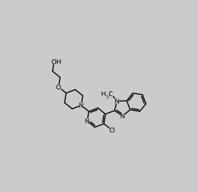 Cn1c(-c2cc(N3CCC(OCCO)CC3)ncc2Cl)nc2ccccc21